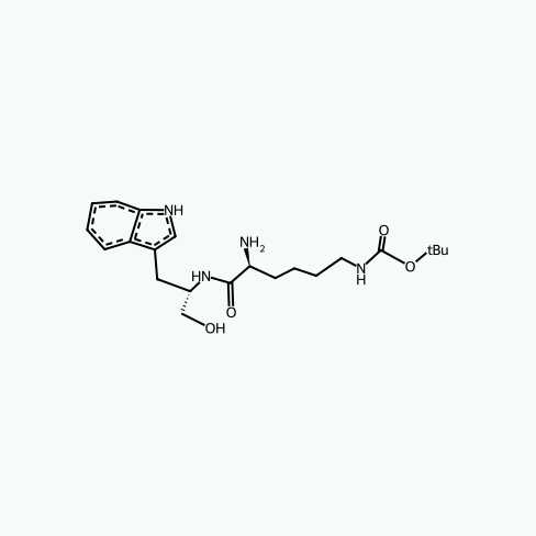 CC(C)(C)OC(=O)NCCCC[C@H](N)C(=O)N[C@H](CO)Cc1c[nH]c2ccccc12